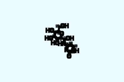 O=c1nc(NC(O)[C@@H]2O[C@H](CO)[C@@H](O)[C@H](O)[C@H]2O)cc[nH]1